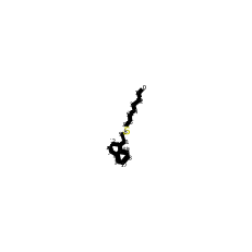 CCCCCCCCSCCc1cccc2ccccc12